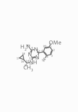 COc1ccc(F)c(-c2nc(N)nc(N[C@H](C)C3CC3)n2)c1